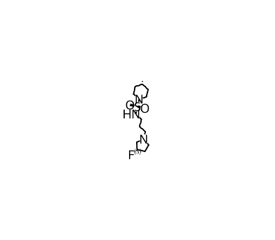 O=S(=O)(NCCCN1CC[C@H](F)C1)N1CC[CH]CC1